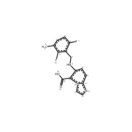 Cc1ccc(F)c(CNc2ccc3nccn3c2C(=O)O)c1F